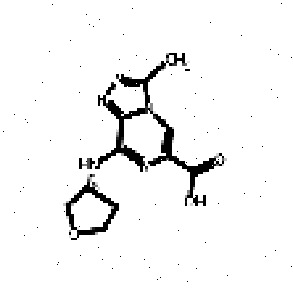 Cc1nnc2c(N[C@@H]3CCOC3)nc(C(=O)O)cn12